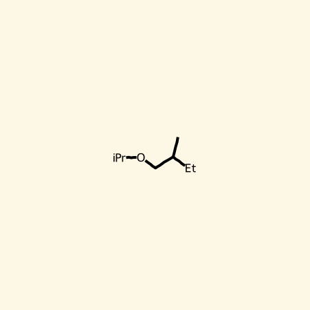 CCC(C)COC(C)C